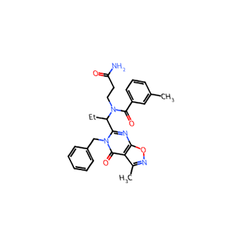 CCC(c1nc2onc(C)c2c(=O)n1Cc1ccccc1)N(CCC(N)=O)C(=O)c1cccc(C)c1